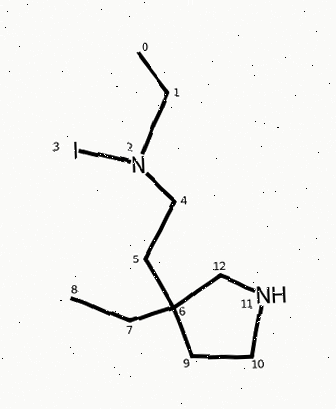 CCN(I)CCC1(CC)CCNC1